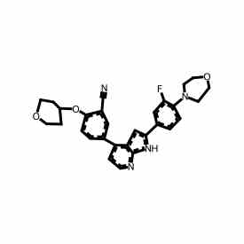 N#Cc1cc(-c2ccnc3[nH]c(-c4ccc(N5CCOCC5)c(F)c4)cc23)ccc1OC1CCOCC1